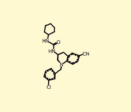 N#Cc1ccc2c(c1)CC(NC(=O)NC1CCCCC1)CN2Cc1cccc(Cl)c1